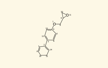 C1=CC(c2ccc(OCC3CO3)cc2)=CCC1